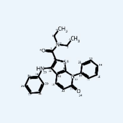 CCN(CC)C(=O)c1sc2c(ccc(=O)n2-c2ccccc2)c1Nc1ccccc1